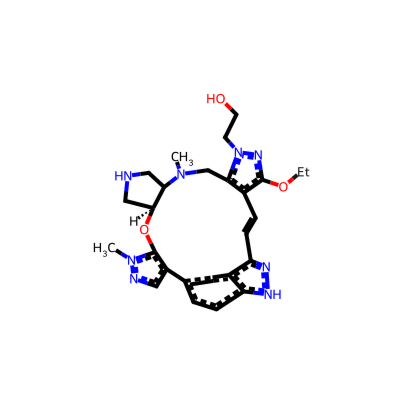 CCOc1nn(CCO)c2c1/C=C/c1n[nH]c3ccc(cc13)-c1cnn(C)c1O[C@H]1CNCC1N(C)C2